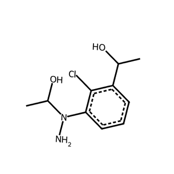 CC(O)c1cccc(N(N)C(C)O)c1Cl